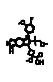 COCC(C)(C)c1c(C2CC(OC)(C(=O)O)C2)c2cc3[nH]ncc3cc2n1-c1ccc(F)c(OC)c1